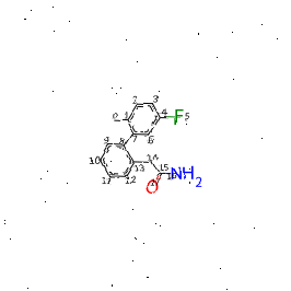 Cc1ccc(F)cc1-c1ccccc1CC(N)=O